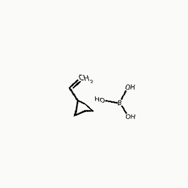 C=CC1CC1.OB(O)O